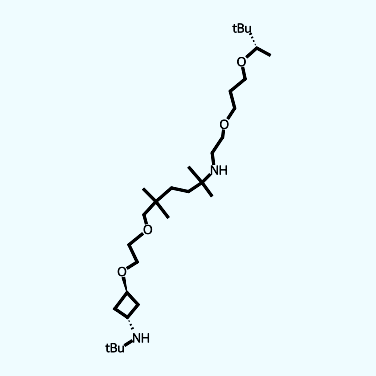 C[C@H](OCCCOCCNC(C)(C)CCC(C)(C)COCCO[C@H]1C[C@H](NC(C)(C)C)C1)C(C)(C)C